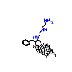 CC(=O)O.CC(=O)O.CC(=O)O.CC(=O)O.CC(=O)O.NCCNCCNC1CCCCC1Cc1ccccc1